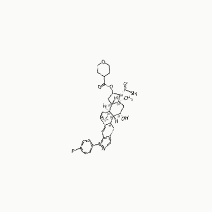 C[C@]12C[C@H](O)[C@H]3[C@@H](CCC4=Cc5c(cnn5-c5ccc(F)cc5)C[C@@]43C)[C@@H]1CC(OC(=O)C1CCOCC1)[C@@H]2C(=O)S